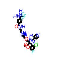 COC(=O)C1=C(COCc2cn(CCCNC(=O)c3ccc(C4(C(F)(F)F)NN4)cc3)nn2)NC(c2ccncc2)=NC1c1ccc(F)cc1Cl